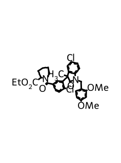 CCOC(=O)C1CCCCN1C(=O)c1ccc(Cl)c(C2(C)C(=O)N(Cc3ccc(OC)cc3OC)c3ccc(Cl)cc32)c1